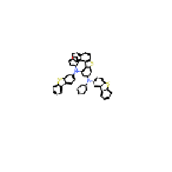 c1ccc(N(c2cc(N(c3ccccc3)c3ccc4c(c3)sc3ccccc34)c3c(c2)sc2ccc4ccccc4c23)c2ccc3sc4ccccc4c3c2)cc1